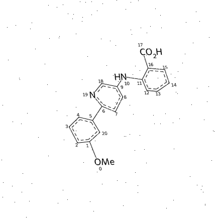 COc1cccc(-c2ccc(Nc3ccccc3C(=O)O)cn2)c1